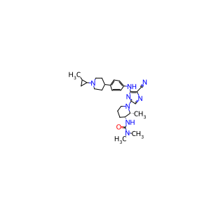 CC1CC1N1CCC(c2ccc(Nc3nc(N4CCC[C@@H](NC(=O)N(C)C)[C@H]4C)cnc3C#N)cc2)CC1